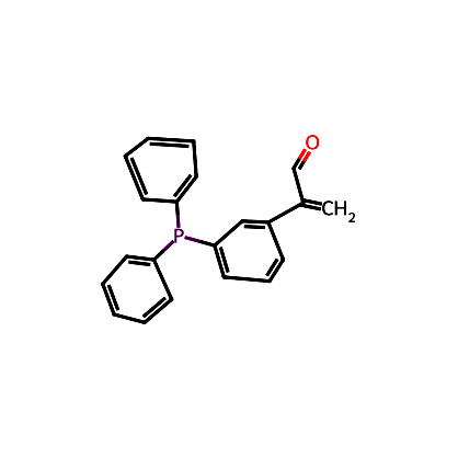 C=C(C=O)c1cccc(P(c2ccccc2)c2ccccc2)c1